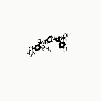 COc1cc(N)c(Cl)cc1C(=O)NCC1CCN(CCC(NC(=O)O)c2ccc(Cl)cc2)CC1